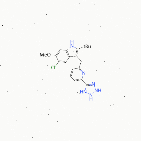 COc1cc2[nH]c(C(C)(C)C)c(Cc3cccc(C4=NNNN4)n3)c2cc1Cl